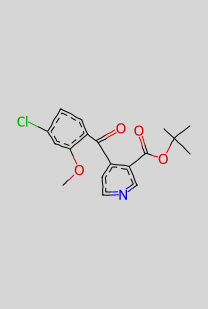 COc1cc(Cl)ccc1C(=O)c1ccncc1C(=O)OC(C)(C)C